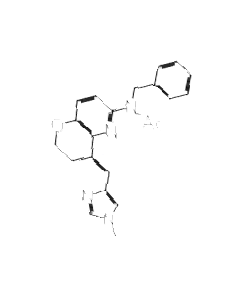 CC(=O)N(Cc1ccccc1)c1ccc2c(n1)/C(=C/c1cn(C)cn1)CCO2